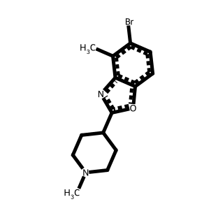 Cc1c(Br)ccc2oc(C3CCN(C)CC3)nc12